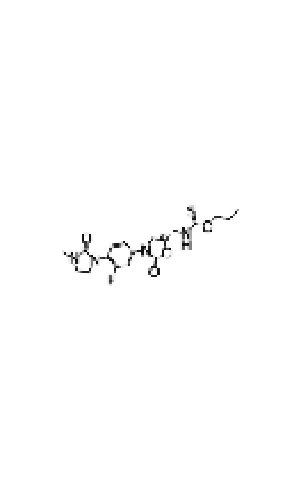 CCCOC(=S)NC[C@H]1CN(c2ccc(N3CCN(C)C3=O)c(F)c2)C(=O)O1